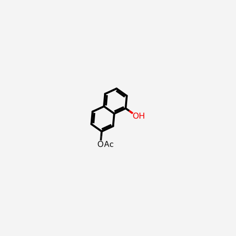 CC(=O)Oc1ccc2cccc(O)c2c1